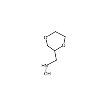 ONCC1COCCO1